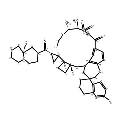 C[C@@H]1[C@@H](C)CCC[C@@]2(C[C@@H]2C(=O)N2CCN3CCOC[C@H]3C2)[C@@H]2CC[C@H]2CN2C[C@@]3(CCCc4cc(Cl)ccc43)COc3ccc(cc32)C(=O)NS1(=O)=O